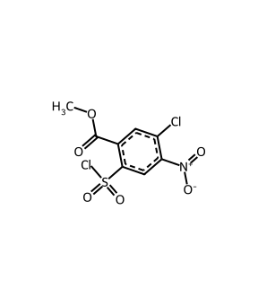 COC(=O)c1cc(Cl)c([N+](=O)[O-])cc1S(=O)(=O)Cl